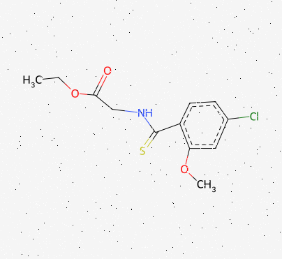 CCOC(=O)CNC(=S)c1ccc(Cl)cc1OC